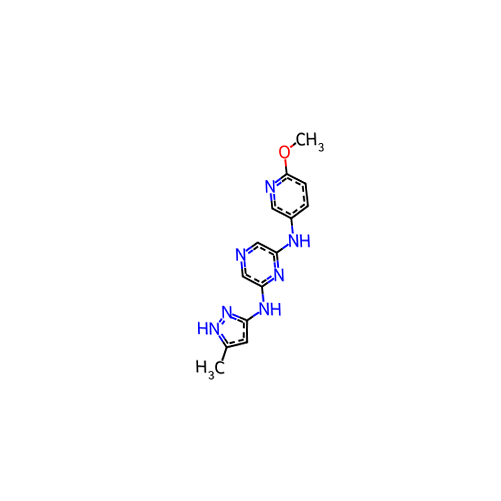 COc1ccc(Nc2cncc(Nc3cc(C)[nH]n3)n2)cn1